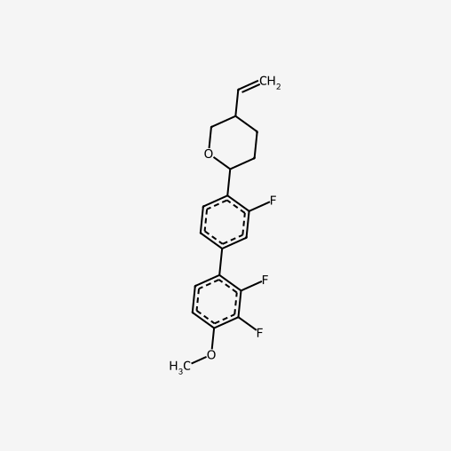 C=CC1CCC(c2ccc(-c3ccc(OC)c(F)c3F)cc2F)OC1